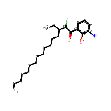 CCCCCCCCCCCCCC(CC)C(Cl)C(=O)c1cccc(N)c1O